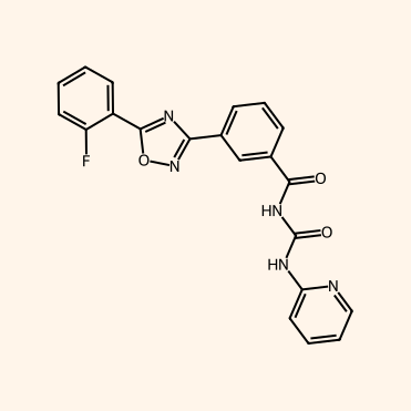 O=C(NC(=O)c1cccc(-c2noc(-c3ccccc3F)n2)c1)Nc1ccccn1